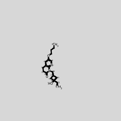 CCCCOc1cnc2c(c1)CCC(=O)N2CC1CC(O)(CC)C1